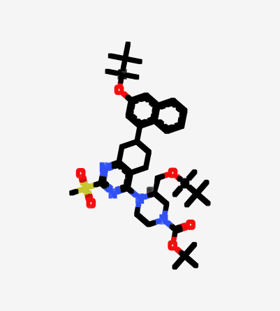 CC(C)(C)OC(=O)N1CCN(c2nc(S(C)(=O)=O)nc3c2CCC(c2cc(O[Si](C)(C)C(C)(C)C)cc4ccccc24)C3)[C@@H](CO[Si](C)(C)C(C)(C)C)C1